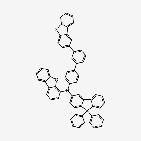 c1ccc(C2(c3ccccc3)c3ccccc3-c3cc(N(c4ccc(-c5cccc(-c6ccc7sc8ccccc8c7c6)c5)cc4)c4cccc5c4oc4ccccc45)ccc32)cc1